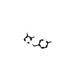 CCOC(=O)c1cnn(Cc2ccc(F)nc2)c1N